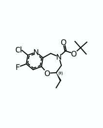 CC[C@@H]1CN(C(=O)OC(C)(C)C)Cc2nc(Cl)c(F)cc2O1